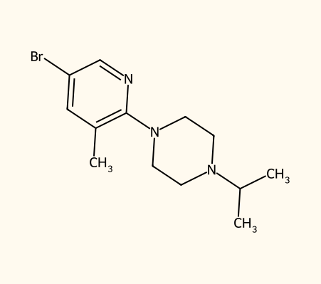 Cc1cc(Br)cnc1N1CCN(C(C)C)CC1